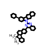 CC1(C)c2ccccc2-c2c1ccc1cc(-c3nc(-n4c5ccc(-c6ccccc6)cc5c5cc6ccccc6cc54)nc4ccccc34)ccc21